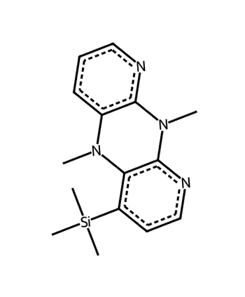 CN1c2ncccc2N(C)c2c([Si](C)(C)C)ccnc21